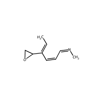 C/C=C(/C=C\C=N/C)C1CO1